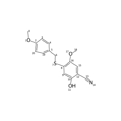 COc1ccc(CSc2cc(O)c(C#N)cc2OC)cc1